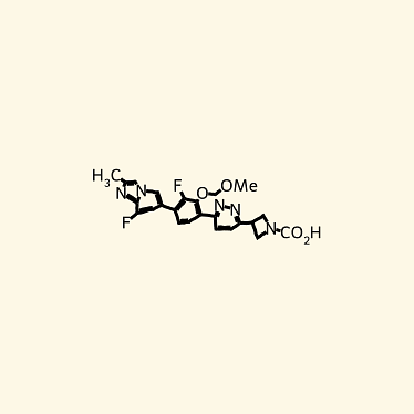 COCOc1c(-c2ccc(C3CN(C(=O)O)C3)nn2)ccc(-c2cc(F)c3nc(C)cn3c2)c1F